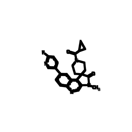 CN1C(=O)C2(CCN(C(=O)C3CC3)CC2)c2c1cnc1ccc(-c3ccc(F)nc3)cc21